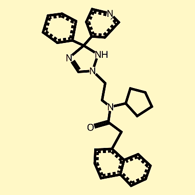 O=C(Cc1cccc2ccccc12)N(CCN1C=NC(c2ccccc2)(c2ccncc2)N1)C1CCCC1